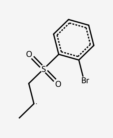 C[CH]CS(=O)(=O)c1ccccc1Br